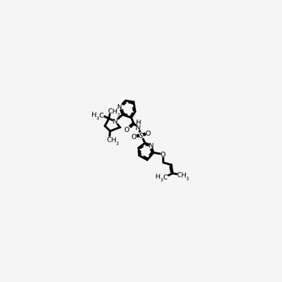 CC(C)=CCOc1cccc(S(=O)(=O)NC(=O)c2cccnc2N2CC(C)CC2(C)C)n1